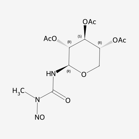 CC(=O)O[C@@H]1[C@@H](OC(C)=O)[C@H](OC(C)=O)CO[C@H]1NC(=O)N(C)N=O